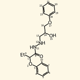 CCC(Oc1ccccc1)C(=O)NNCC(O)COc1ccccc1